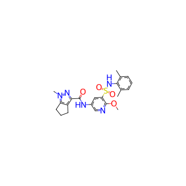 COc1ncc(NC(=O)c2nn(C)c3c2CCC3)cc1S(=O)(=O)Nc1c(C)cccc1C